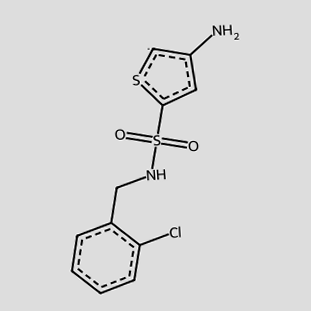 Nc1[c]sc(S(=O)(=O)NCc2ccccc2Cl)c1